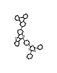 c1ccc(-c2nc(-c3ccccc3)nc(-c3ccc(-c4nc5cc(-c6ccc7c8ccccc8c8ccccc8c7c6)ccc5c5sc6ccccc6c45)cc3)n2)cc1